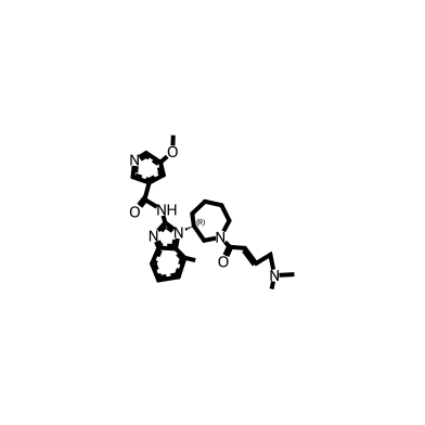 COc1cncc(C(=O)Nc2nc3cccc(C)c3n2[C@@H]2CCCCN(C(=O)C=CCN(C)C)C2)c1